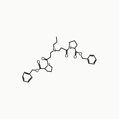 CCCN(CCC(=O)N1CCCC1C(=O)OCc1ccccc1)CCC(=O)N1CCCC1C(=O)OCc1ccccc1